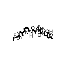 Cc1cc(CN2C(=O)c3c(ncn3[C@@H](C)C(=O)Nc3cccc(-c4cnc(C(F)(F)F)nc4)n3)N(C)C2O)no1